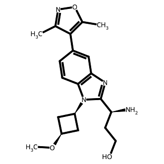 CO[C@H]1C[C@@H](n2c([C@@H](N)CCO)nc3cc(-c4c(C)noc4C)ccc32)C1